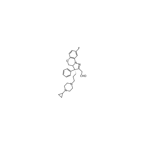 O=CCC1=NN2c3cc(F)ccc3OCC2[C@]1(CCCN1CCN(C2CC2)CC1)c1ccccc1